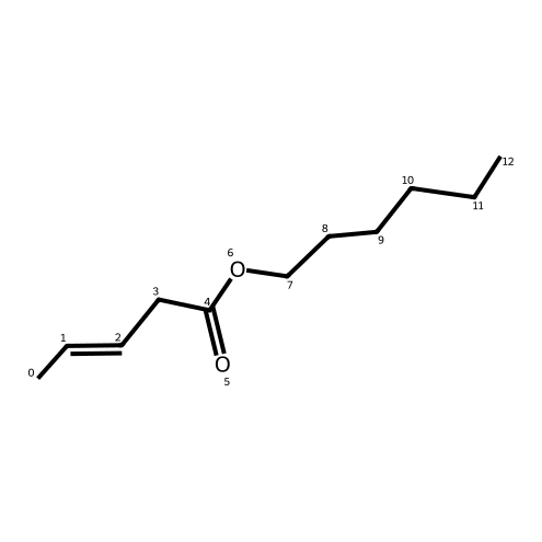 CC=CCC(=O)OCCCCCC